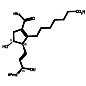 CCCCC[C@H](O)C=C[C@@H]1C(CCCCCCC(=O)O)=C(C(=O)CCCC)C[C@H]1O